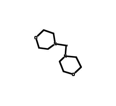 [C](N1CCOCC1)N1CCOCC1